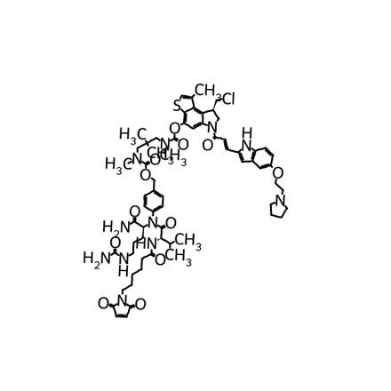 Cc1csc2c(OC(=O)N(C)CC(C)(C)CN(C)C(=O)OCc3ccc(N(C(=O)[C@@H](NC(=O)CCCCCN4C(=O)C=CC4=O)C(C)C)[C@@H](CCCNC(N)=O)C(N)=O)cc3)cc3c(c12)[C@@H](CCl)CN3C(=O)/C=C/c1cc2cc(OCCN3CCCC3)ccc2[nH]1